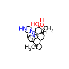 CC1[C@@H]2CCC3C4CCC[C@@]4(C)CCC3[C@@]2(C)C(N2CCCCC2)(N2CCNCC2)CC1(O)O